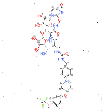 NC[C@H]1O[C@@H](O[C@H](C2OC(n3ccc(=O)[nH]c3=O)C(O)C2O)[C@H](NCCCNC(=O)NCc2ccc(N3CCC(Oc4ccc(OC(F)(F)F)cc4)CC3)cc2)C(N)=O)[C@H](O)[C@@H]1O